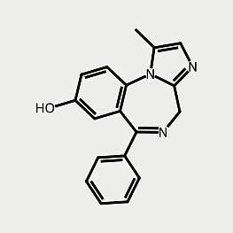 Cc1cnc2n1-c1ccc(O)cc1C(c1ccccc1)=NC2